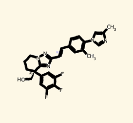 Cc1cn(-c2ccc(/C=C/c3nc4n(n3)CCC[C@@]4(CO)c3cc(F)c(F)c(F)c3)cc2C)cn1